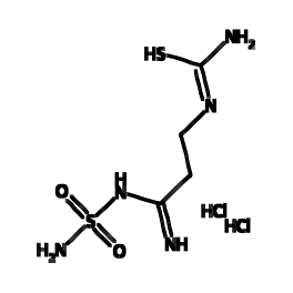 Cl.Cl.N=C(CCN=C(N)S)NS(N)(=O)=O